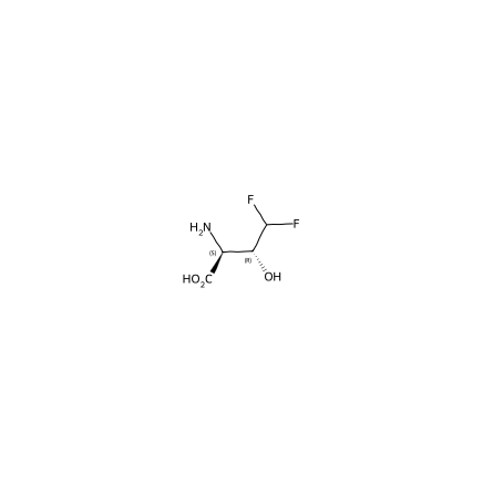 N[C@H](C(=O)O)[C@@H](O)C(F)F